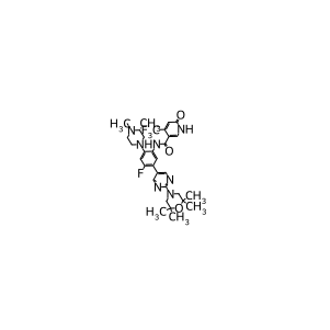 C[C@@H]1CN(c2cc(F)c(-c3cnc(N4CC(C)(C)OC(C)(C)C4)nc3)cc2NC(=O)c2c[nH]c(=O)cc2C(F)(F)F)CCN1C